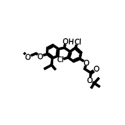 COCOc1ccc(C(O)c2c(Cl)cc(OCC(=O)OC(C)(C)C)cc2Cl)cc1C(C)C